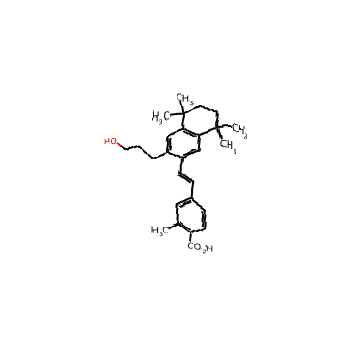 Cc1cc(/C=C/c2cc3c(cc2CCCO)C(C)(C)CCC3(C)C)ccc1C(=O)O